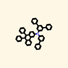 c1ccc(-c2cccc(N(c3cc(-c4ccccc4)cc(-c4ccccc4)c3)c3ccc4c(-c5ccccc5)c(-c5ccccc5)c5ccccc5c4c3)c2)cc1